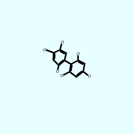 Clc1cc(Cl)c(-c2cc(Cl)c(Cl)cc2Cl)c(Cl)c1